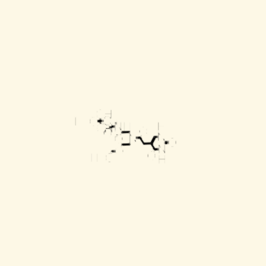 CCOC(=O)CN(CCNC(=O)OC(C)(C)C)C(=O)Cc1c[nH]c(=O)[nH]c1=O